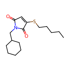 CCCCCSC1=CC(=O)N(CC2CCCCC2)C1=O